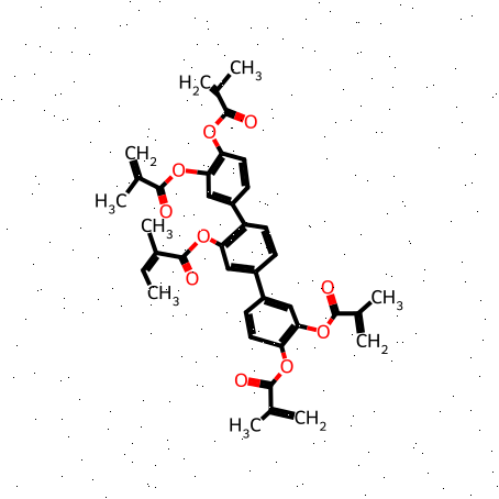 C=C(C)C(=O)Oc1ccc(-c2ccc(-c3ccc(OC(=O)C(=C)C)c(OC(=O)C(=C)C)c3)c(OC(=O)/C(C)=C\C)c2)cc1OC(=O)C(=C)C